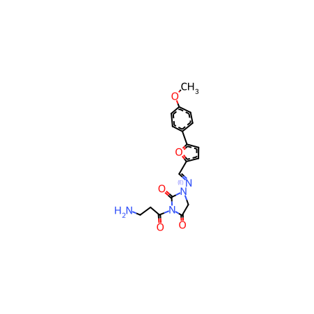 COc1ccc(-c2ccc(/C=N/N3CC(=O)N(C(=O)CCN)C3=O)o2)cc1